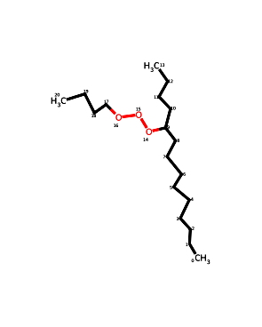 CCCCCCCCCC(CCCC)OOOCCCC